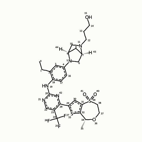 CCc1cc(N2C[C@H]3C[C@@H]2CN3CCCO)ccc1Nc1ncc(C(F)(F)F)c(-c2cc3c(s2)[C@@H](C)OCCS3(=O)=O)n1